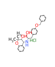 CC1(C)Oc2ccccc2C(NC(CO)Cc2ccc(OCc3ccccc3)cc2)C1O.Cl